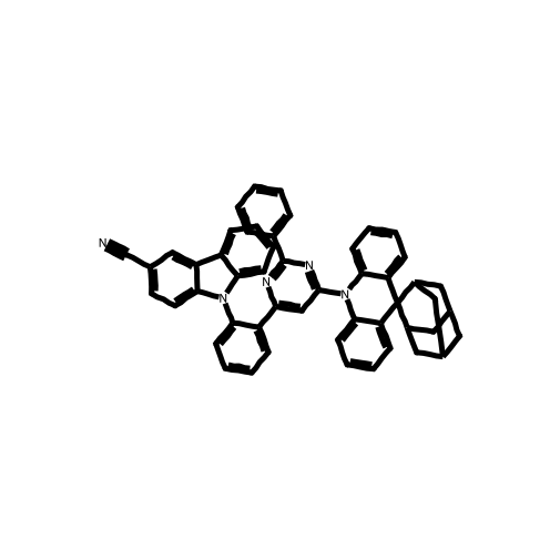 N#Cc1ccc2c(c1)c1ccccc1n2-c1ccccc1-c1cc(N2c3ccccc3C3(c4ccccc42)C2CC4CC(C2)CC3C4)nc(-c2ccccc2)n1